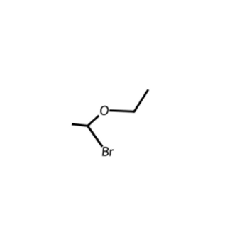 CCOC(C)Br